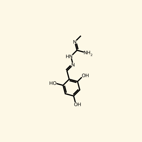 C/N=C(\N)N/N=C/c1c(O)cc(O)cc1O